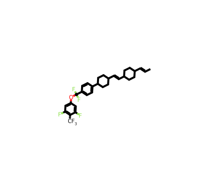 C/C=C/C1CCC(/C=C/C2CCC(c3ccc(C(F)(F)Oc4cc(F)c(C(F)(F)F)c(F)c4)cc3)CC2)CC1